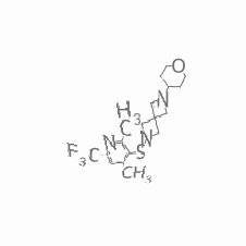 Cc1cc(C(F)(F)F)nc(C)c1SN1CC2(C1)CN(C1CCOCC1)C2